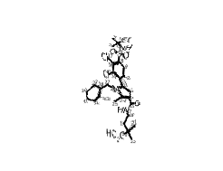 CCC(C)(C)NS(=O)(=O)c1ccc(-c2cc(C(=O)NCCC(C)(C)C(=O)O)c(C)n2CC2CCCCC2)c(Cl)c1Cl